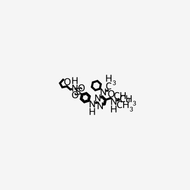 CCN(c1nc(Nc2ccc(S(=O)(=O)NCC3CCCO3)cc2)ncc1C(=O)NC(C)(C)C)C1CCCCC1